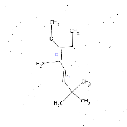 C=C/C(OC)=C(N)\C=C\C(C)(C)C